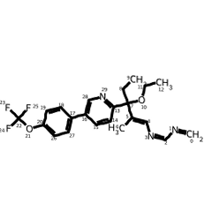 C=N/C=N\C=C(/C)C(CC)(OCC)c1ccc(-c2ccc(OC(F)(F)F)cc2)cn1